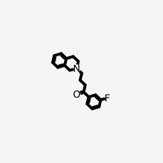 O=C(CCCN1CCc2ccccc2C1)c1cccc(F)c1